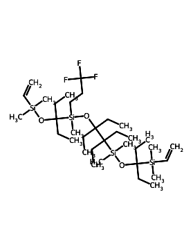 C=C[Si](C)(C)OC(CC)(CC)[Si](C)(CCC(F)(F)F)OC(CC)(CC)C(CC)(CC)[Si](C)(C)OC(CC)(CC)[Si](C)(C)C=C